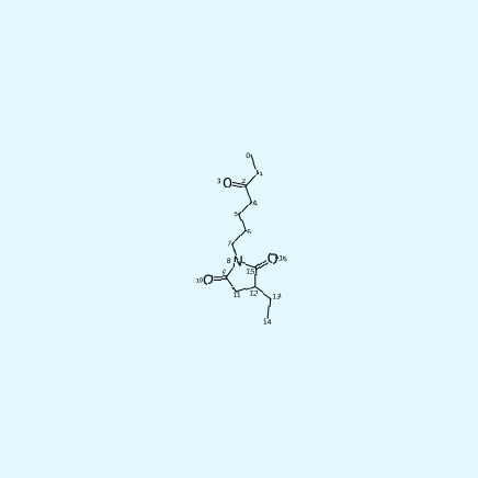 CCC(=O)CCCCN1C(=O)CC(CC)C1=O